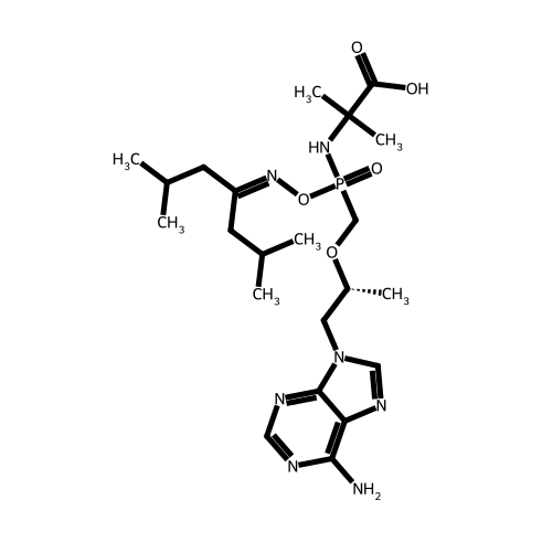 CC(C)CC(CC(C)C)=NOP(=O)(CO[C@H](C)Cn1cnc2c(N)ncnc21)NC(C)(C)C(=O)O